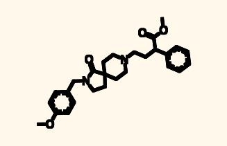 COC(=O)C(CCN1CCC2(CC1)CCN(Cc1ccc(OC)cc1)C2=O)c1ccccc1